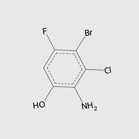 Nc1c(O)cc(F)c(Br)c1Cl